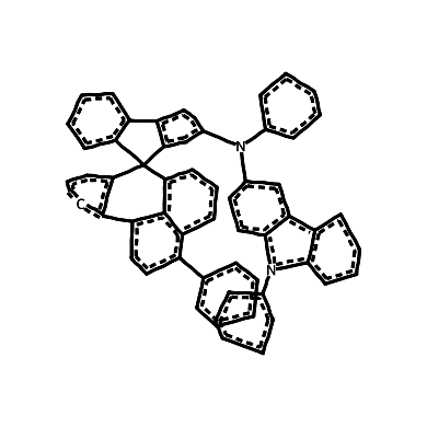 c1ccc(-c2ccc3c4c(cccc24)C2(c4ccccc4-c4ccc(N(c5ccccc5)c5ccc6c(c5)c5ccccc5n6-c5ccccc5)cc42)c2ccccc2-3)cc1